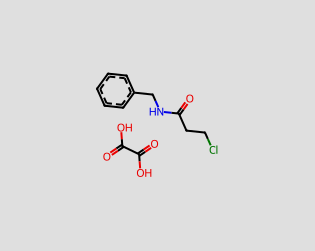 O=C(CCCl)NCc1ccccc1.O=C(O)C(=O)O